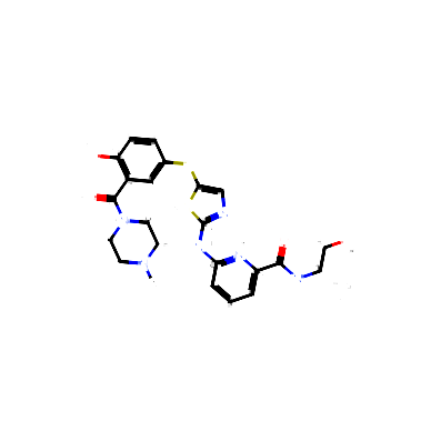 CC(=O)N1CCN(C(=O)c2cc(Sc3cnc(Nc4cccc(C(=O)N[C@H](CO)C(C)(C)C)n4)s3)ccc2O)CC1